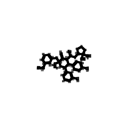 CCC(CN1CCCS1(O)O)N1C(=O)C(C)(Cc2cccc(OC)n2)CC(c2cccc(Cl)c2)C1c1ccc(Cl)cc1